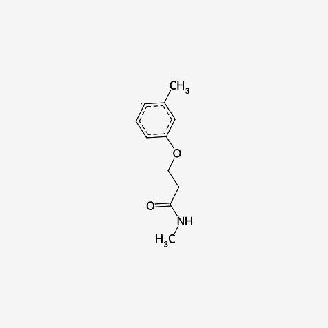 CNC(=O)CCOc1cc[c]c(C)c1